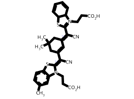 Cc1ccc2c(c1)N(CCC(=O)O)/C(=C(\C#N)C1=C/C(=C(\C#N)C3=[N+](CCC(=O)O)C4C=CC=CC4S3)CC(C)(C)C1)S2